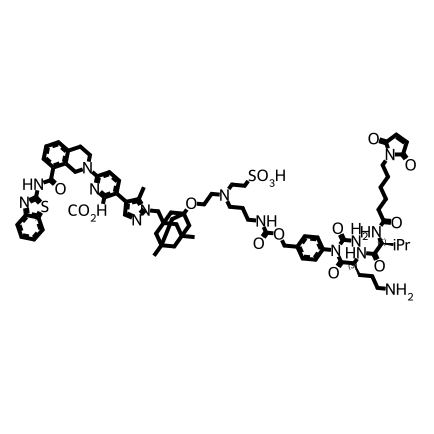 Cc1c(-c2ccc(N3CCc4cccc(C(=O)Nc5nc6ccccc6s5)c4C3)nc2C(=O)O)cnn1CC12CC3(C)CC(C)(C1)CC(OCCN(CCCNC(=O)OCc1ccc(N(C(N)=O)C(=O)[C@H](CCCN)NC(=O)[C@@H](NC(=O)CCCCCN4C(=O)C=CC4=O)C(C)C)cc1)CCS(=O)(=O)O)(C3)C2